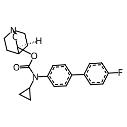 O=C(O[C@@H]1CN2CCC1CC2)N(c1ccc(-c2ccc(F)cc2)cc1)C1CC1